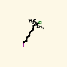 C[Si](C)(Cl)CCCCCCCI